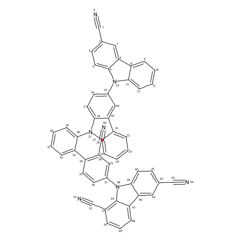 N#Cc1ccc2c(c1)c1ccccc1n2-c1ccc2c(c1)c1ccccc1n2-c1ccccc1-c1ccc(-n2c3ccc(C#N)cc3c3cccc(C#N)c32)cc1C#N